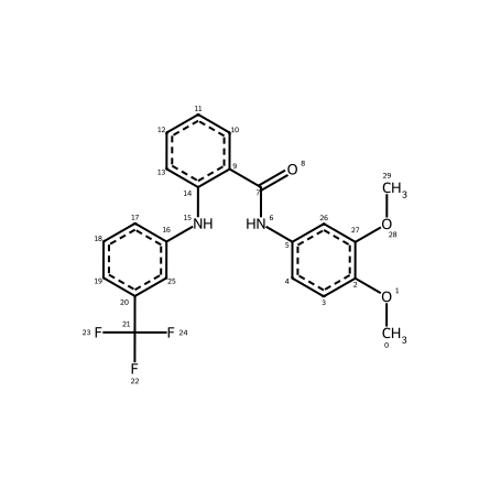 COc1ccc(NC(=O)c2ccccc2Nc2cccc(C(F)(F)F)c2)cc1OC